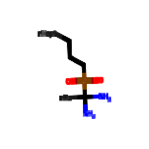 CCCCCCCCCCS(=O)(=O)C(N)(N)CCCC